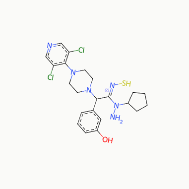 NN(/C(=N\S)C(c1cccc(O)c1)N1CCN(c2c(Cl)cncc2Cl)CC1)C1CCCC1